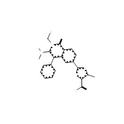 Cc1nc(-c2ccc3c(=O)n(CC(C)C)c(N(C)C(=O)O)c(-c4ccccc4)c3c2)sc1C(N)=O